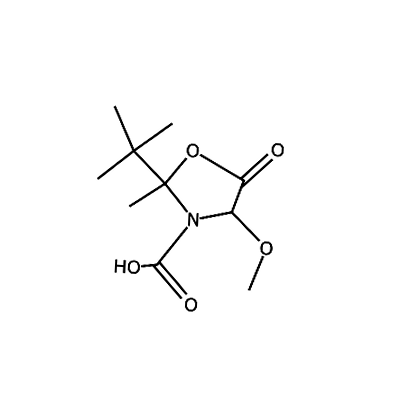 COC1C(=O)OC(C)(C(C)(C)C)N1C(=O)O